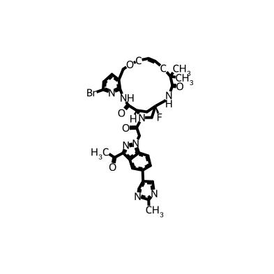 CC(=O)c1nn(CC(=O)N2C[C@@]3(F)CNC(=O)C(C)(C)C/C=C\COCc4ccc(Br)nc4NC(=O)[C@@H]2C3)c2ccc(-c3cnc(C)nc3)cc12